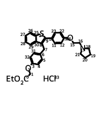 CCOC(=O)COc1ccc(Cc2c(-c3ccc(OCCN4CCCC4)cc3)sc3ccccc23)cc1.Cl